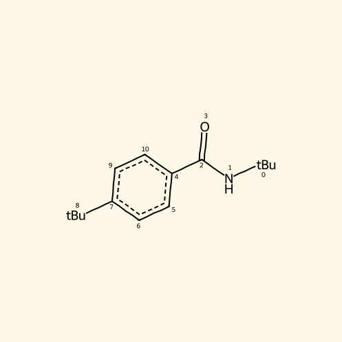 CC(C)(C)NC(=O)c1ccc(C(C)(C)C)cc1